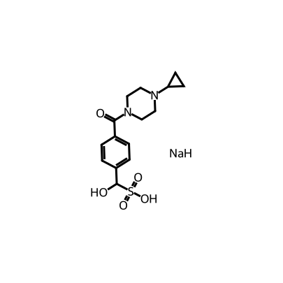 O=C(c1ccc(C(O)S(=O)(=O)O)cc1)N1CCN(C2CC2)CC1.[NaH]